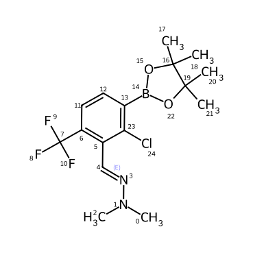 CN(C)/N=C/c1c(C(F)(F)F)ccc(B2OC(C)(C)C(C)(C)O2)c1Cl